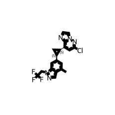 Cc1cc([C@H]2C[C@@H]2c2cc(Cl)nn3ccnc23)cc2c1cnn2CC(F)(F)F